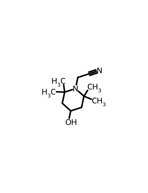 CC1(C)CC(O)CC(C)(C)N1CC#N